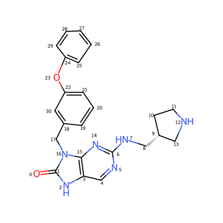 O=c1[nH]c2cnc(NC[C@@H]3CCNC3)nc2n1Cc1cccc(Oc2ccccc2)c1